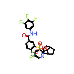 O=C(Nc1cc(F)c(F)c(F)c1)c1ccc(Cl)c(S(=O)(=O)[C@H]2CC3CCC(C2)[C@]3(O)c2ccc(F)cn2)c1